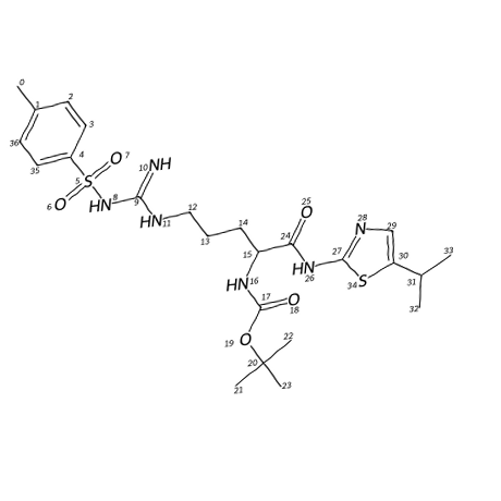 Cc1ccc(S(=O)(=O)NC(=N)NCCCC(NC(=O)OC(C)(C)C)C(=O)Nc2ncc(C(C)C)s2)cc1